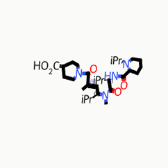 C/C(=C\[C@H](C(C)C)N(C)C(=O)[C@@H](NC(=O)C1CCCCN1C(C)C)C(C)C)C(=O)N1CCC(C(=O)O)CC1